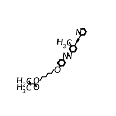 C=C(C)C(=O)OCCCCCCOc1ccc(/N=N/c2ccc(C#Cc3ccccn3)c(C)c2)cc1